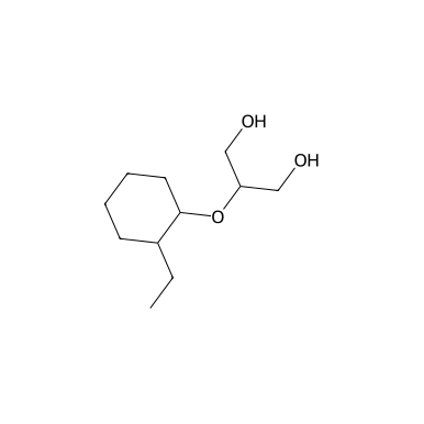 CCC1CCCCC1OC(CO)CO